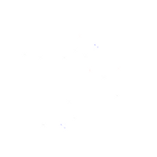 CCC(C(=O)Oc1ncoc1-c1ccc(Cl)s1)c1ccc2c(c1)CCN2C=O